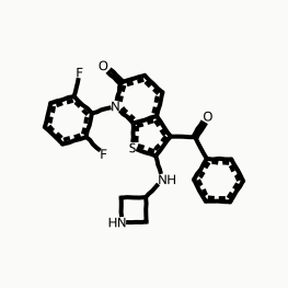 O=C(c1ccccc1)c1c(NC2CNC2)sc2c1ccc(=O)n2-c1c(F)cccc1F